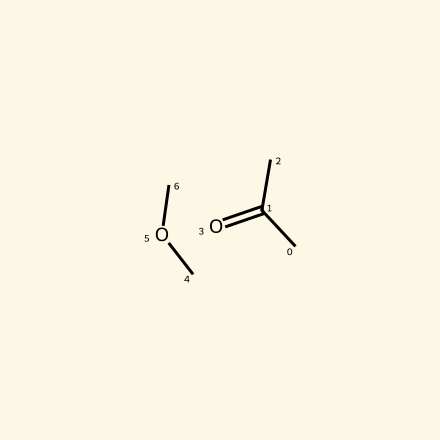 CC(C)=O.COC